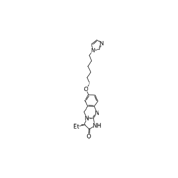 CCC1C(=O)NC2=Nc3ccc(OCCCCCCn4ccnc4)cc3CN21